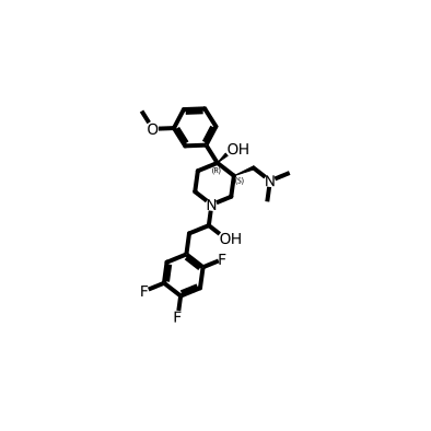 COc1cccc([C@@]2(O)CCN(C(O)Cc3cc(F)c(F)cc3F)C[C@@H]2CN(C)C)c1